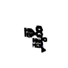 CN/C=C(\C=N)[C@@H]1CN(C(=O)C(=N)/C=C(\O)C2CC2)Cc2ccccc21